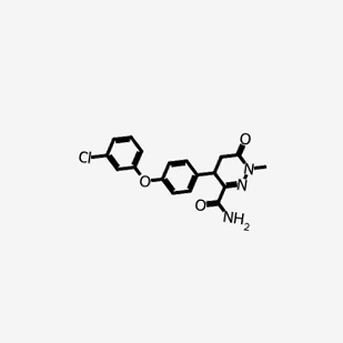 CN1N=C(C(N)=O)C(c2ccc(Oc3cccc(Cl)c3)cc2)CC1=O